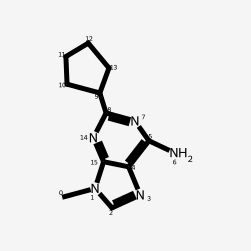 Cn1cnc2c(N)nc(C3CCCC3)nc21